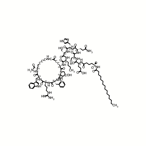 CCCCCCCCCCCCCCCC(=O)NS(=O)(=O)CCCC(=O)N[C@@H](CCC(=O)O)C(=O)N[C@@H](CO)C(=O)N[C@@H](CCC(N)=O)C(=O)N[C@@H](Cc1c[nH]cn1)C(=O)N[C@@H](CO)C(=O)N[C@@H](CCCC)C(=O)N[C@H]1CCC(=O)CNCCCC[C@@H](C(N)=O)NC(=O)[C@H](Cc2c[nH]c3ccccc23)NC(=O)[C@H](CCCNC(=N)N)NC(=O)[C@@H](Cc2ccccc2)NC(=O)[C@@H]2C[C@@H](O)CN2C1=O